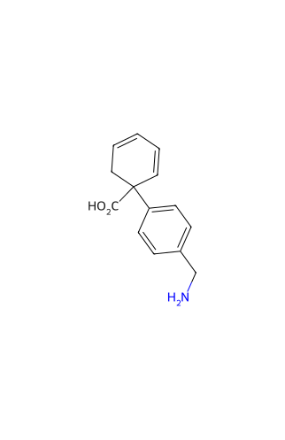 NCc1ccc(C2(C(=O)O)C=CC=CC2)cc1